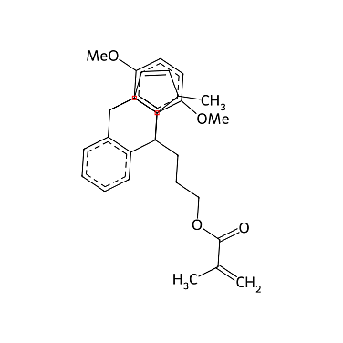 C=C(C)C(=O)OCCCC12C3=C(C=CC3C)C(c3ccccc31)c1c(OC)ccc(OC)c12